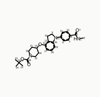 CNC(=O)c1ccc(N2CCc3c(OC4CCN(C(=O)OC(C)(C)C)CC4)cccc32)cc1